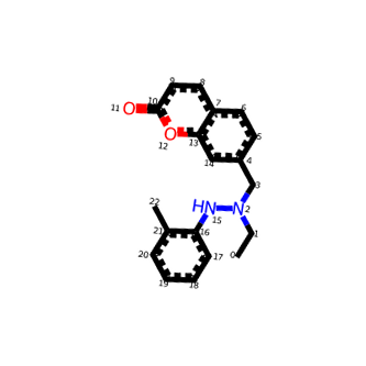 CCN(Cc1ccc2ccc(=O)oc2c1)Nc1ccccc1C